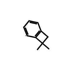 CC1(C)Cc2ccc[c]c21